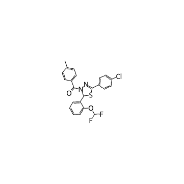 Cc1ccc(C(=O)N2N=C(c3ccc(Cl)cc3)SC2c2ccccc2OC(F)F)cc1